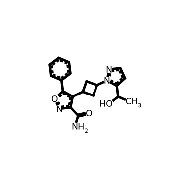 CC(O)c1ccnn1C1CC(c2c(C(N)=O)noc2-c2ccccc2)C1